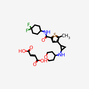 Cc1sc(C(=O)NC2CCC(F)(F)CC2)cc1C1CC1NC1CCOCC1.O=C(O)C=CC(=O)O